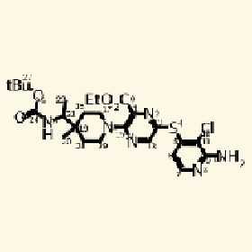 CCOC(=O)c1nc(Sc2ccnc(N)c2Cl)cnc1N1CCC(C)(C(C)NC(=O)OC(C)(C)C)CC1